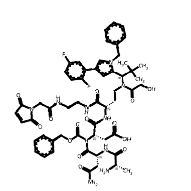 C[C@H](N)C(=O)N[C@H](CC(N)=O)C(=O)N(C(=O)OCc1ccccc1)[C@@H](CC(=O)O)C(=O)N[C@@H](CCN(C(=O)CO)[C@@H](c1cc(-c2cc(F)ccc2F)cn1Cc1ccccc1)C(C)(C)C)C(=O)NCCNC(=O)CN1C(=O)C=CC1=O